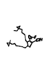 CCC1(CCCCc2c(CCCCCC3(C)CC3)ccc(O)c2O)CC1